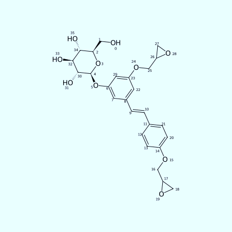 OC[C@H]1O[C@@H](Oc2cc(/C=C/c3ccc(OCC4CO4)cc3)cc(OCC3CO3)c2)[C@H](O)[C@@H](O)[C@@H]1O